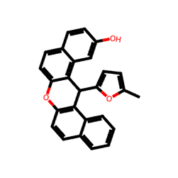 Cc1ccc(C2c3c(ccc4ccccc34)Oc3ccc4ccc(O)cc4c32)o1